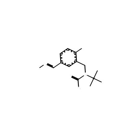 CC(C)(C)N(Cc1cc(/C=N/O)ccc1Cl)C(=O)O